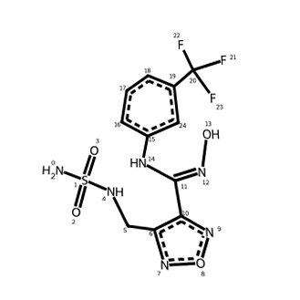 NS(=O)(=O)NCc1nonc1/C(=N/O)Nc1cccc(C(F)(F)F)c1